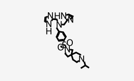 CC(C)CN1CCC2(CC1)CCN(S(=O)(=O)c1ccc(CN(Cc3ncc[nH]3)Cc3ncc[nH]3)cc1)C2